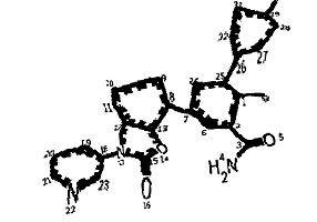 Cc1c(C(N)=O)cc(-c2cccc3c2oc(=O)n3-c2cccnc2)cc1-c1ccc(F)cc1